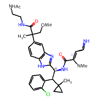 CN/C(=C\C=N)C(=O)N[C@H](c1nc2cc(C(C)(COC)C(=O)NCCNC(C)=O)ccc2[nH]1)C(c1ccccc1Cl)C1(C)CC1